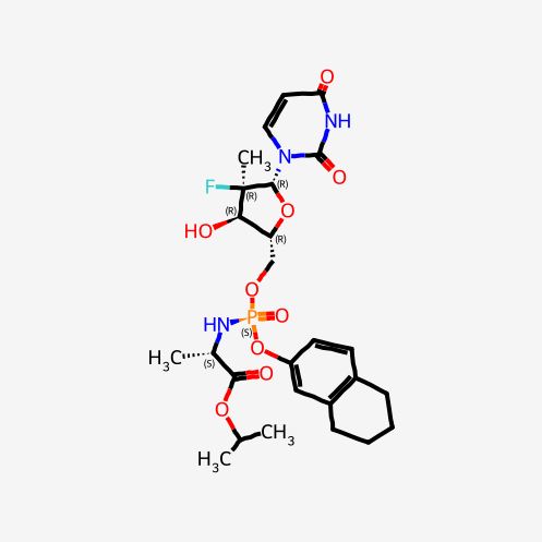 CC(C)OC(=O)[C@H](C)N[P@](=O)(OC[C@H]1O[C@@H](n2ccc(=O)[nH]c2=O)[C@](C)(F)[C@@H]1O)Oc1ccc2c(c1)CCCC2